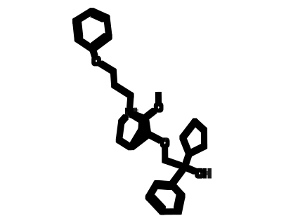 COC1C(OCC(O)(c2ccccc2)C2CCCC2)C2CC[N+]1(CCCOc1ccccc1)CC2